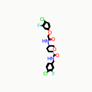 O=C(COc1ccc(Cl)c(F)c1)N[C@@H]1CC[C@@H](C(=O)NCc2ccc(Cl)c(F)c2)OC1